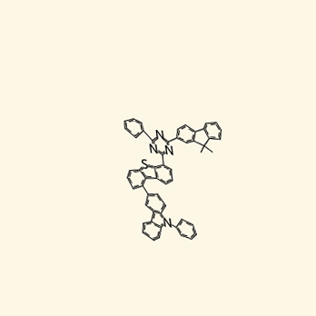 CC1(C)c2ccccc2-c2ccc(-c3nc(-c4ccccc4)nc(-c4cccc5c4sc4cccc(-c6ccc7c(c6)c6ccccc6n7-c6ccccc6)c45)n3)cc21